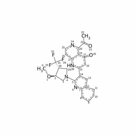 CO[C@@H]1CN(c2nc3ccccc3cc2-c2cc(=O)c3c(C(C)=O)nccc3[nH]2)C[C@H]1C(F)(F)F